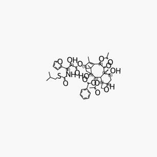 CC(=O)O[C@H]1C(=O)[C@@]2(C)C([C@H](OC(=O)c3ccccc3)[C@]3(O)C[C@H](OC(=O)[C@H](O)[C@@H](NC(=O)SCC(C)C)c4ccco4)C(C)=C1C3(C)C)[C@]1(OC(C)=O)CO[C@@H]1C[C@@H]2O